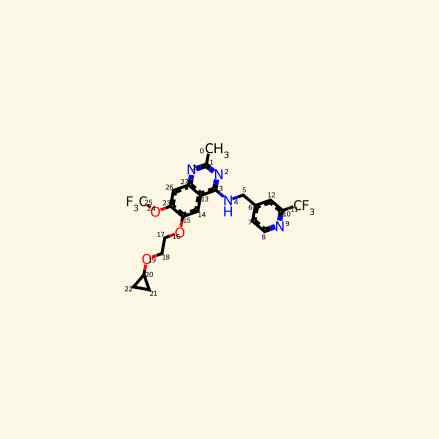 Cc1nc(NCc2ccnc(C(F)(F)F)c2)c2cc(OCCOC3CC3)c(OC(F)(F)F)cc2n1